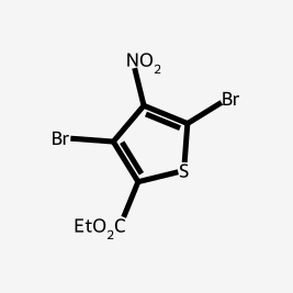 CCOC(=O)c1sc(Br)c([N+](=O)[O-])c1Br